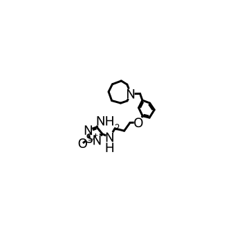 Nc1n[s+]([O-])nc1NCCCOc1cccc(CN2CCCCCCC2)c1